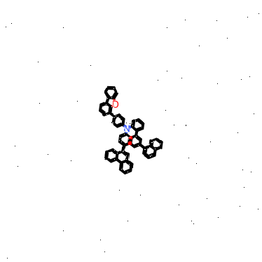 c1cc(-c2ccccc2N(c2ccc(-c3cc4ccccc4c4ccccc34)cc2)c2ccc(-c3cccc4c3oc3ccccc34)cc2)cc(-c2cccc3ccccc23)c1